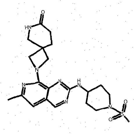 Cc1cc2cnc(NC3CCN(S(C)(=O)=O)CC3)nc2c(N2CC3(CCC(=O)NC3)C2)n1